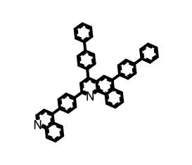 c1ccc(-c2ccc(-c3cc4c(-c5ccc(-c6ccccc6)cc5)cc(-c5ccc(-c6ccnc7ccccc67)cc5)nc4c4ccccc34)cc2)cc1